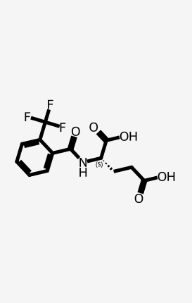 O=C(O)CC[C@H](NC(=O)c1ccccc1C(F)(F)F)C(=O)O